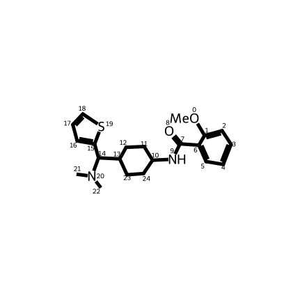 COc1ccccc1C(=O)NC1CCC(C(c2cccs2)N(C)C)CC1